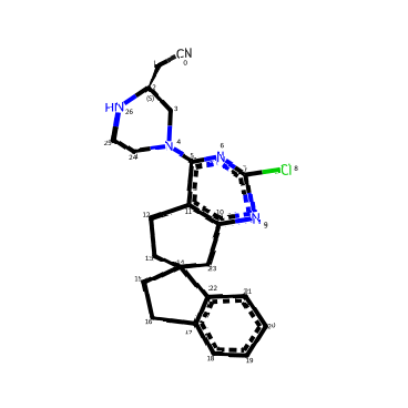 N#CC[C@H]1CN(c2nc(Cl)nc3c2CCC2(CCc4ccccc42)C3)CCN1